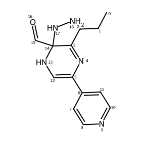 CCCC1=NC(c2ccncc2)=CNC1(C=O)NN